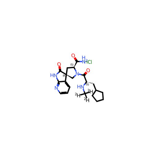 Cl.[2H]C([2H])([2H])N[C@@H](CC1CCCC1)C(=O)N1C[C@]2(C[C@H]1C(N)=O)C(=O)Nc1ncccc12